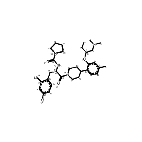 CC[C@@H](CN(C)C)Oc1cc(C)ccc1C1CCN(C(=O)[C@@H](Cc2ccc(Cl)cc2Cl)NC(=O)N2CCCC2)CC1